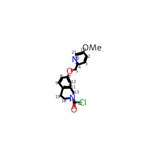 COc1ccc(COc2ccc3c(c2)CN(C(=O)Cl)CC3)nc1